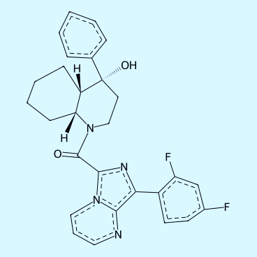 O=C(c1nc(-c2ccc(F)cc2F)c2ncccn12)N1CC[C@](O)(c2ccccc2)[C@H]2CCCC[C@H]21